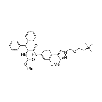 COc1cc(NC(=O)[C@@H](NC(=O)OC(C)(C)C)C(c2ccccc2)c2ccccc2)ccc1-c1cn(COCC[Si](C)(C)C)nc1C